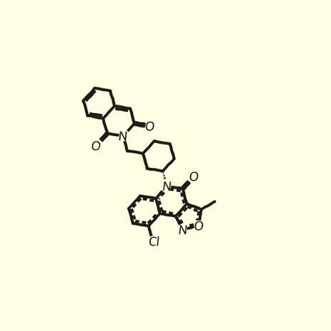 Cc1onc2c1c(=O)n([C@H]1CCCC(CN3C(=O)C=C4CC=CC=C4C3=O)C1)c1cccc(Cl)c21